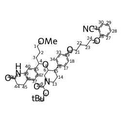 COCCCC(OC1CN(C(=O)OC(C)(C)C)CCC1c1ccc(OCCCCOc2ccccc2C#N)cc1)c1ccc2c(c1)NC(=O)CC2